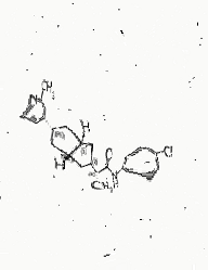 Cc1cc([C@@H]2C[C@@H]3C[C@@H]([C@@H](C)C(=O)Nc4ccc(Cl)cc4)C[C@@H]3C2)ccn1